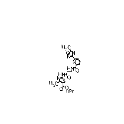 CCCOC(=O)c1sc(NC(=O)CCNC(=O)c2cccc(-c3noc(C)n3)n2)nc1C